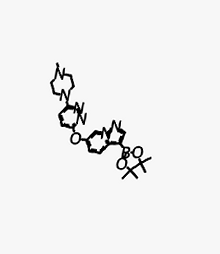 CN1CCN(c2ccc(Oc3ccc4c(B5OC(C)(C)C(C)(C)O5)cnn4c3)nn2)CC1